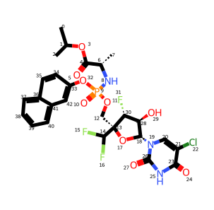 CC(C)OC(=O)[C@H](C)NP(=O)(OC[C@@]1(C(F)F)O[C@@H](n2cc(Cl)c(=O)[nH]c2=O)[C@H](O)[C@H]1F)Oc1ccc2ccccc2c1